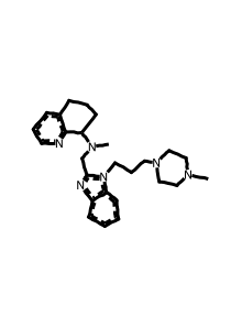 CN1CCN(CCCn2c(CN(C)C3CCCc4cccnc43)nc3ccccc32)CC1